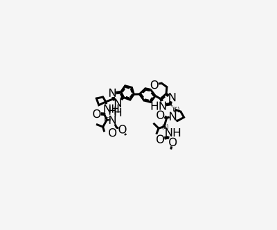 COC(=O)N[C@H](C(=O)NC1(c2nc3ccc(-c4ccc5c(c4)OCCc4nc([C@@H]6CCCN6C(=O)[C@@H](NC(=O)OC)C(C)C)[nH]c4-5)cc3[nH]2)CCC1)C(C)C